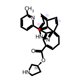 Cc1cccc(-c2[nH]ncc2C2=C\C=C\C3=CC(C(=O)O[C@H]4CCNC4)=CCC=C3/C=C\2)n1